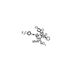 CNC(=C[N+](=O)[O-])NCc1c(C(=O)NN2CCCCC2)nn(-c2ccc(Cl)cc2Cl)c1-c1ccc(C#Cc2ccc(C(F)(F)F)cc2)s1